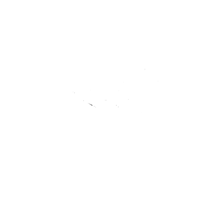 CC(C)(C)CC(C)(C)NC(=O)N[C@]1(C(=O)O)NCCC1c1ccc2ccccc2c1